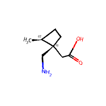 C[C@H]1CC[C@]1(CN)CC(=O)O